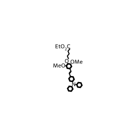 CCOC(=O)CCCCCOc1c(OC)cc(C=Cc2ccc(N(c3ccccc3)c3ccccc3)cc2)cc1OC